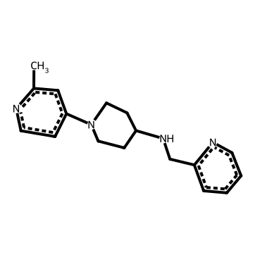 Cc1cc(N2CCC(NCc3ccccn3)CC2)ccn1